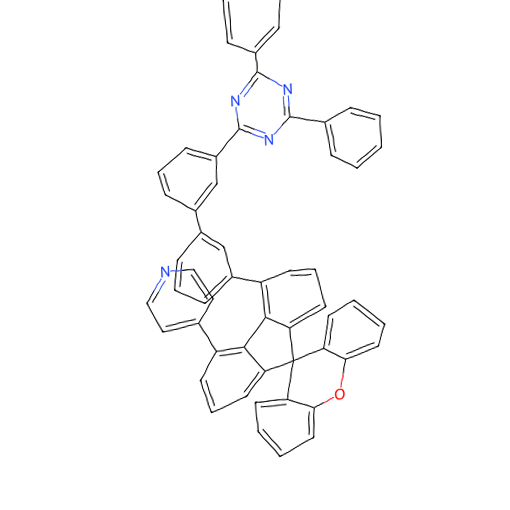 c1ccc(-c2nc(-c3ccccc3)nc(-c3cccc(-c4cccc(-c5cccc6c5-c5c(-c7ccncc7)cccc5C65c6ccccc6Oc6ccccc65)c4)c3)n2)cc1